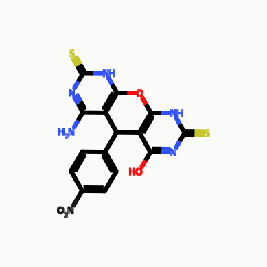 Nc1nc(=S)[nH]c2c1C(c1ccc([N+](=O)[O-])cc1)c1c(O)nc(=S)[nH]c1O2